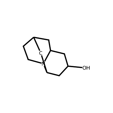 OC1CC2CC3CCN2C(C1)C3